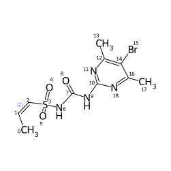 C/C=C\S(=O)(=O)NC(=O)Nc1nc(C)c(Br)c(C)n1